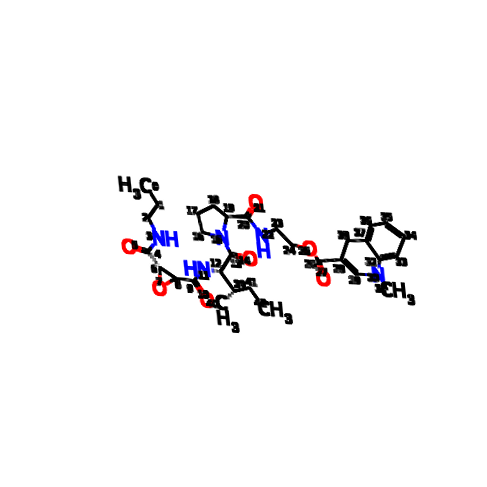 CCCNC(=O)[C@H]1OC1C(=O)N[C@H](C(=O)N1CCC[C@H]1C(=O)NCCOC(=O)C1=CN(C)c2ccccc2C1)[C@@H](C)CC